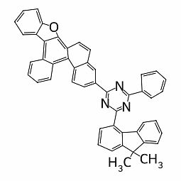 CC1(C)c2ccccc2-c2c(-c3nc(-c4ccccc4)nc(-c4ccc5c(ccc6c7oc8ccccc8c7c7ccccc7c56)c4)n3)cccc21